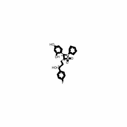 O=S1(=O)[C@H](CC[C@@H](O)c2ccc(F)cc2)[C@@H](c2ccc(O)cc2O)N1c1ccccc1